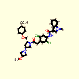 CCOC1CN([C@H]2C[C@@H](CO[C@H]3CC[C@H](C(=O)O)CC3)N(C(=O)Cc3cc(Cl)c(NC(=O)c4cn(C)c5ccccc45)cc3Cl)C2)C1